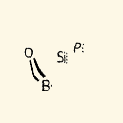 [B]=O.[P].[Si]